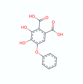 O=C(O)c1cc(Oc2ccccc2)c(O)c(O)c1C(=O)O